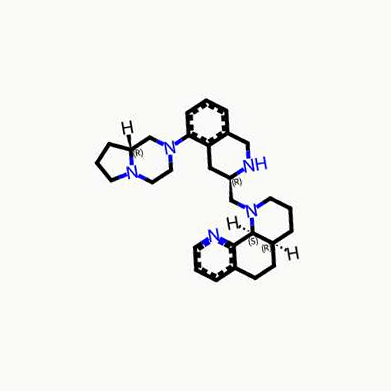 c1cnc2c(c1)CC[C@@H]1CCCN(C[C@H]3Cc4c(cccc4N4CCN5CCC[C@@H]5C4)CN3)[C@H]21